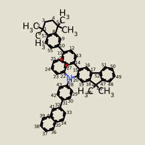 CC1(C)CCC(C)(C)c2cc(-c3ccc(-c4cc5c(cc4N(c4ccccc4)c4ccc(-c6ccc7ccccc7c6)cc4)C(C)(C)c4ccccc4-5)cc3)ccc21